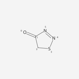 O=C1CSN=N1